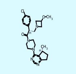 COC1CN(C[C@H](C(=O)N2CCN(c3ncnc4c3[C@H](C)CC4)CC2)c2ccc(Cl)cc2)C1